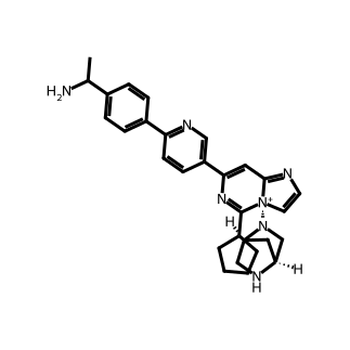 CC(N)c1ccc(-c2ccc(C3=CC4=NC=C[N@@+]4(N4C[C@@H]5C[C@H]4CN5)C(C4CCCC4)=N3)cn2)cc1